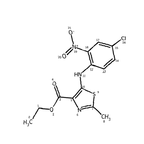 CCOC(=O)c1nc(C)sc1Nc1ccc(Cl)cc1[N+](=O)[O-]